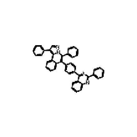 c1ccc(-c2nc(-c3ccc(-c4c(-c5ccccc5)n5ncc(-c6ccccc6)c5c5ccccc45)cc3)c3ccccc3n2)cc1